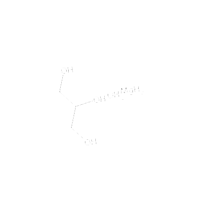 O.OCC(O)CO.[MgH2]